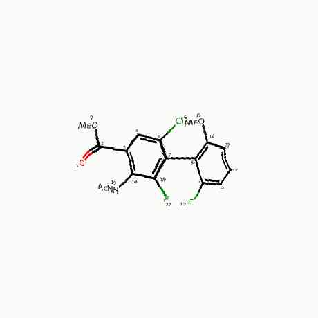 COC(=O)c1cc(Cl)c(-c2c(F)cccc2OC)c(F)c1NC(C)=O